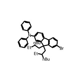 CCCCC(CC)CC1(CC(CC)CCCC)c2cc(Br)ccc2-c2ccc(N(c3ccccc3)c3ccccc3)cc21